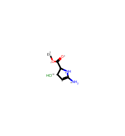 CCOC(=O)C1CC=C(N)N1.Cl